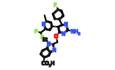 CCn1c(COc2nc(N)nc(-c3ccc(F)cc3)c2-c2cc(C)nc(C(F)F)c2)nc2cc(C(=O)O)ccc21